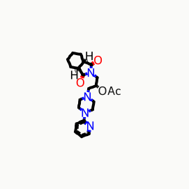 CC(=O)OC(CN1CCN(c2ccccn2)CC1)CN1C(=O)[C@H]2CCCC[C@H]2C1=O